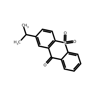 CC(C)c1ccc2c(c1)C(=O)c1ccccc1S2(=O)=O